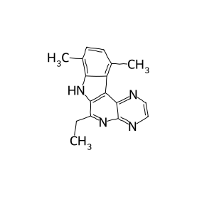 CCc1nc2nccnc2c2c1[nH]c1c(C)ccc(C)c12